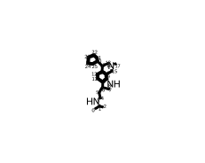 CC(C)NCCC1CNc2c1ccc1c2CN(C)CC1c1ccccc1